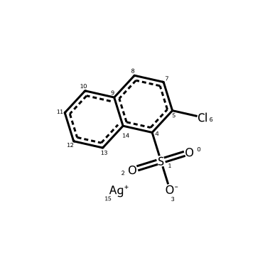 O=S(=O)([O-])c1c(Cl)ccc2ccccc12.[Ag+]